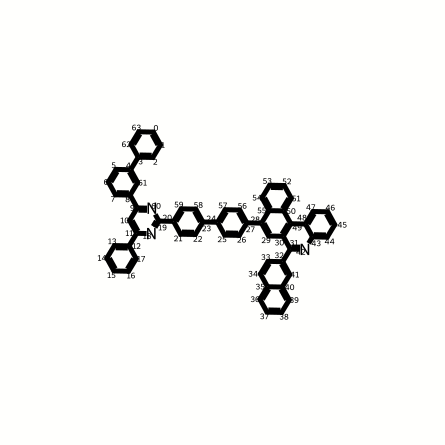 c1ccc(-c2cccc(-c3cc(-c4ccccc4)nc(-c4ccc(-c5ccc(-c6cc7c(-c8ccc9ccccc9c8)nc8ccccc8c7c7ccccc67)cc5)cc4)n3)c2)cc1